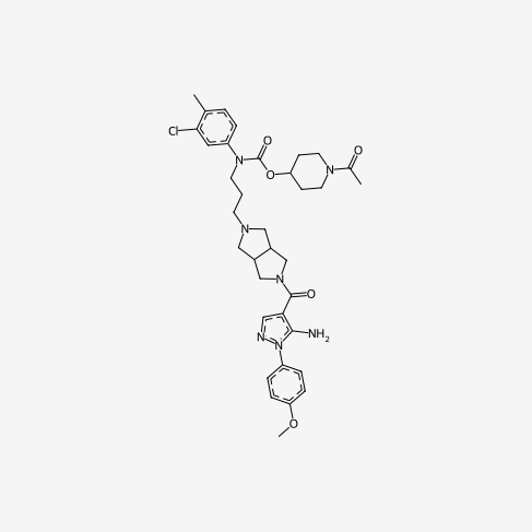 COc1ccc(-n2ncc(C(=O)N3CC4CN(CCCN(C(=O)OC5CCN(C(C)=O)CC5)c5ccc(C)c(Cl)c5)CC4C3)c2N)cc1